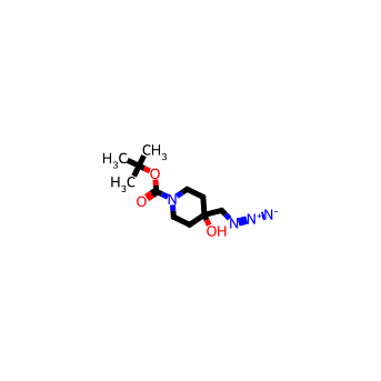 CC(C)(C)OC(=O)N1CCC(O)(CN=[N+]=[N-])CC1